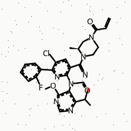 C=CC(=O)N1CCN(/C(=N/C)c2cc(Cl)c(-c3ccccc3F)nc2N(C=O)c2c(OC)ncnc2C(C)C)[C@@H](C)C1